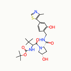 Cc1ncsc1-c1ccc(CNC(=O)[C@@H]2C[C@H](O)CN2C(=O)[C@@H](NC(=O)OC(C)(C)C)C(C)(C)C)c(O)c1